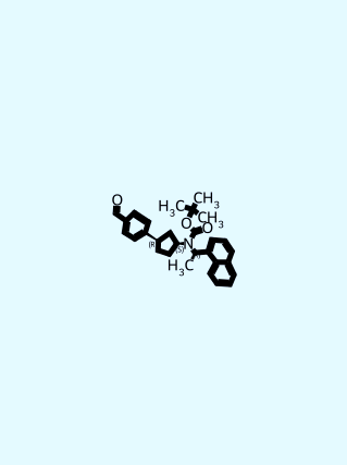 C[C@H](c1cccc2ccccc12)N(C(=O)OC(C)(C)C)[C@H]1CC[C@@H](c2ccc(C=O)cc2)C1